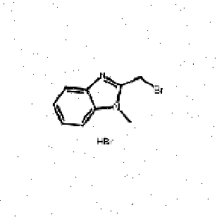 Br.Cn1c(CBr)nc2ccccc21